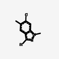 CCc1nn(C)c2cc(Cl)c(C)cc12